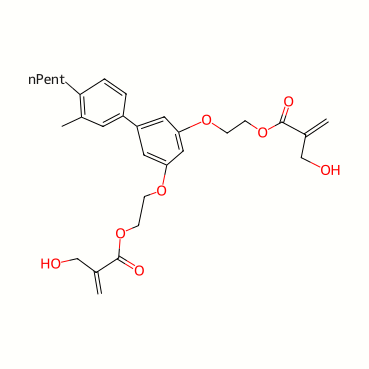 C=C(CO)C(=O)OCCOc1cc(OCCOC(=O)C(=C)CO)cc(-c2ccc(CCCCC)c(C)c2)c1